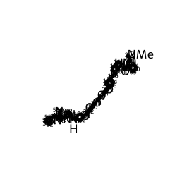 CN[C@@H](C)C(=O)N[C@H](C(=O)N1CCC2CCN(CCc3ccc(OCCOCCOCCOCCOC4CCC(Nc5nccc(-c6cnn(Cc7ccccc7)c6N(C)C)n5)CC4)cc3)CC21)C1CCCCC1